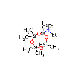 CCN(CC)[Si]1(C)O[SiH](C)O[Si](C)(C)O[Si](C)(C)O1